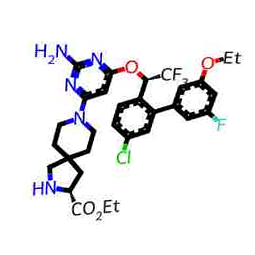 CCOC(=O)[C@@H]1CC2(CCN(c3cc(O[C@H](c4ccc(Cl)cc4-c4cc(F)cc(OCC)c4)C(F)(F)F)nc(N)n3)CC2)CN1